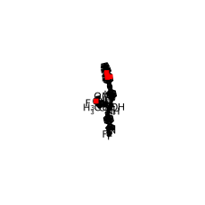 COC(=O)NC(C(=O)N[C@@H](Cc1ccc(C#Cc2ccc(N3CC4CCC(C3)N4C3COC3)nc2)cc1)[C@@H](O)CNCc1ccc(-c2cnn(C(F)F)c2)cc1)C(C)(C)C(F)(F)F